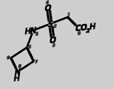 O=C(O)CS(=O)(=O)NC1CNC1